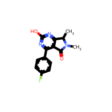 CC1c2nc(O)nc(-c3ccc(F)cc3)c2C(=O)N1C